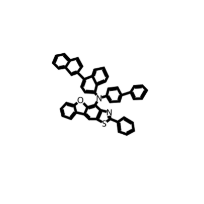 c1ccc(-c2ccc(N(c3ccc(-c4ccc5ccccc5c4)c4ccccc34)c3c4nc(-c5ccccc5)sc4cc4c3oc3ccccc34)cc2)cc1